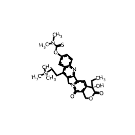 CC[C@@]1(O)C(=O)OCc2c1cc1n(c2=O)Cc2c-1nc1ccc(OC(=S)N(C)C)cc1c2CC[Si](C)(C)C